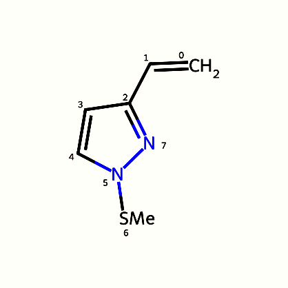 C=Cc1ccn(SC)n1